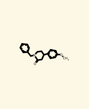 COc1ccc(C2CCN(Cc3ccccc3)C(=O)C2)cc1